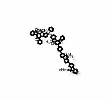 CCCCCCCC1(CCCCCCC)c2ccccc2-c2ccc(-c3ccc4c(c3)C(C)(C)c3cc(-c5ccc(-c6cc7c(c8c6oc6ccccc68)-c6ccc(N(c8ccccc8)c8ccc9c(c8)C(C)(C)c8c%10c(c%11oc%12ccccc%12c%11c8-9)-c8ccccc8C%10(C)C)cc6C7(C)C)cc5)ccc3-4)cc21